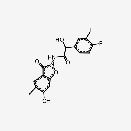 Cc1cc2c(=O)n(NC(=O)C(O)c3ccc(F)c(F)c3)oc2cc1O